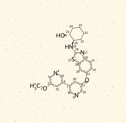 COc1cncc(-c2cncc(Oc3ccc4nc(N[C@@H]5CCCC[C@H]5O)sc4c3)c2)c1